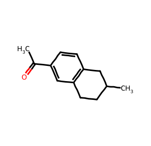 CC(=O)c1ccc2c(c1)CCC(C)C2